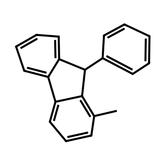 Cc1cccc2c1C(c1ccccc1)c1ccccc1-2